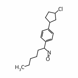 CCCCCC(N=O)c1ccc(C2CCC(Cl)C2)cc1